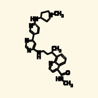 CNC(=O)c1ccnc2c(C(C)CCNc3cc(-c4ccc(NC5CCN(C)CC5)nc4)ncn3)cccc12